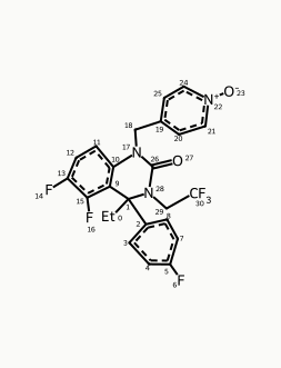 CCC1(c2ccc(F)cc2)c2c(ccc(F)c2F)N(Cc2cc[n+]([O-])cc2)C(=O)N1CC(F)(F)F